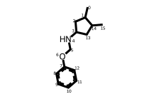 CC1CC(NCOc2ccccc2)CC1C